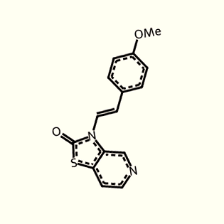 COc1ccc(C=Cn2c(=O)sc3ccncc32)cc1